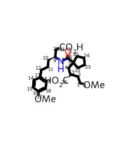 COCC[C@H](CC1(C(=O)N[C@@H](CCCc2ccc(OC)cc2)CC(=O)O)CCCC1)C(=O)O